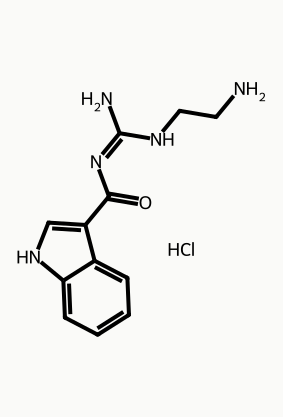 Cl.NCCNC(N)=NC(=O)c1c[nH]c2ccccc12